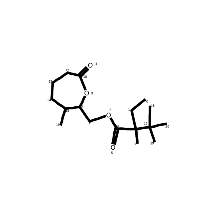 CCC(C)(C(=O)OCC1OC(=O)CCCC1C)C(C)(C)C